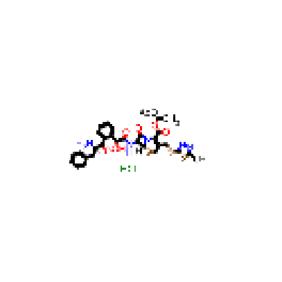 CC(=O)OC(C)OC(=O)C1=C(CSc2nnc(C)s2)CS[C@H]2C(NC(=O)C(O)c3ccccc3C(=O)[C@@H](N)Cc3ccccc3)C(=O)N12.Cl